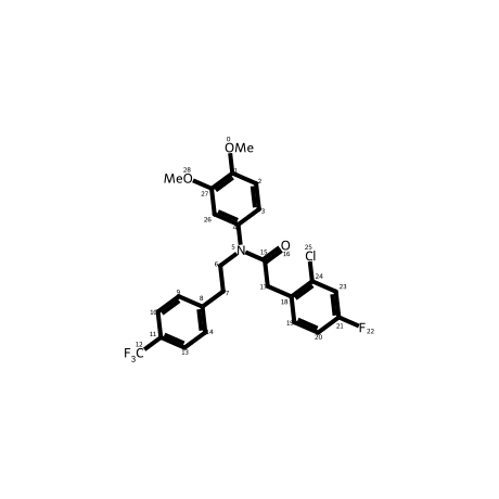 COc1ccc(N(CCc2ccc(C(F)(F)F)cc2)C(=O)Cc2ccc(F)cc2Cl)cc1OC